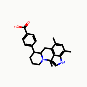 CCN1CCCC(c2ccc(C(=O)O)cc2)C1Cc1c(C)cc(C)c2[nH]ccc12